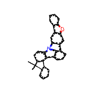 CC1(C)c2ccccc2-c2c1ccc1c2c2cccc3c4cc5oc6ccccc6c5cc4n1c32